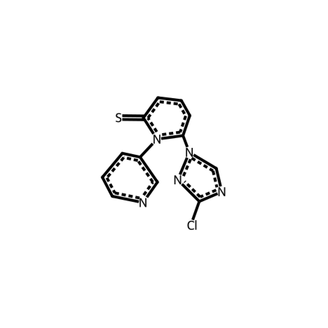 S=c1cccc(-n2cnc(Cl)n2)n1-c1cccnc1